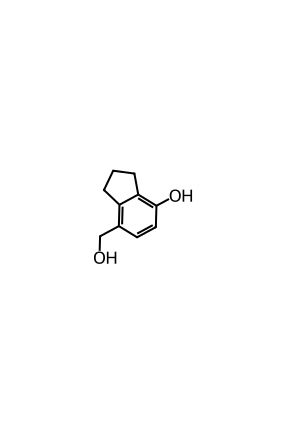 OCc1ccc(O)c2c1CCC2